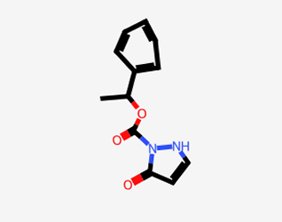 CC(OC(=O)n1[nH]ccc1=O)c1ccccc1